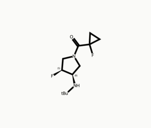 CC(C)(C)N[C@@H]1CN(C(=O)C2(F)CC2)C[C@@H]1F